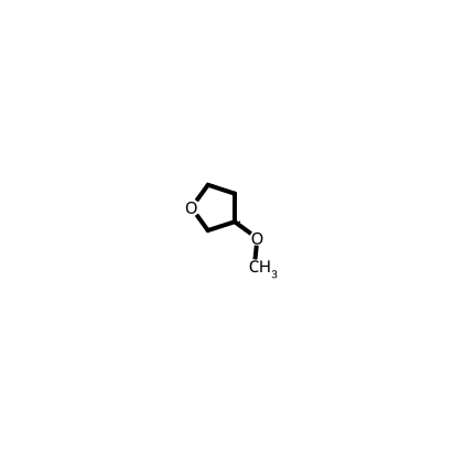 CO[C]1CCOC1